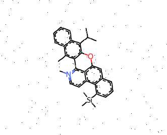 Cc1c2c(c(C(C)C)c3ccccc13)Oc1cc3cccc([Si](C)(C)C)c3c3cc[n+](C)c-2c13